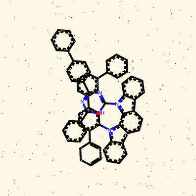 C1=CCCC(c2ccc(-c3cccc(-c4ccccc4)c3)cc2-n2c3ccccc3c3ccc4c5ccccc5n(C5=NC(c6ccc(-c7ccccc7)cc6)=NC(c6ccccc6)N5)c4c32)=C1